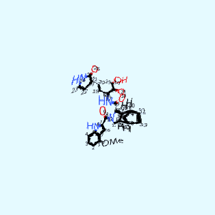 COc1cccc2[nH]c(C(=O)N3C[C@H]4[C@@H]([C@H]3C(=O)N[C@@H](CC[C@@H]3CCNC3=O)C(=O)CO)[C@H]3C=C[C@@H]4C3)cc12